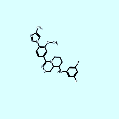 COc1cc(C2=NOCC3C(Nc4cc(F)cc(F)c4)CCCN23)ccc1-n1cnc(C)c1